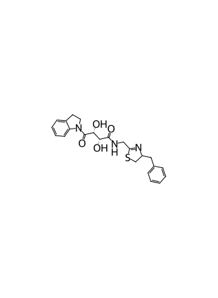 O=C(NCC1=NC(Cc2ccccc2)CS1)[C@H](O)[C@@H](O)C(=O)N1CCc2ccccc21